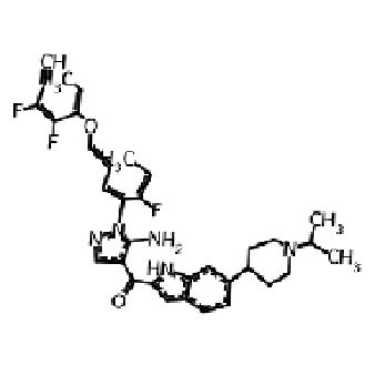 C#C/C(F)=C(F)\C(=C/C)O/C=C/C=C(\C(F)=C/C)n1ncc(C(=O)c2cc3ccc(C4CCN(C(C)C)CC4)cc3[nH]2)c1N